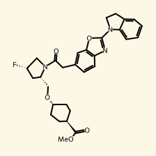 COC(=O)[C@H]1CC[C@H](OC[C@@H]2C[C@H](F)CN2C(=O)Cc2ccc3nc(N4CCc5ccccc54)oc3c2)CC1